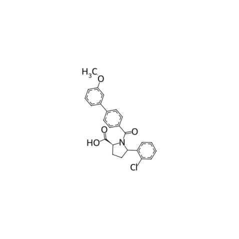 COc1cccc(-c2ccc(C(=O)N3C(c4ccccc4Cl)CC[C@H]3C(=O)O)cc2)c1